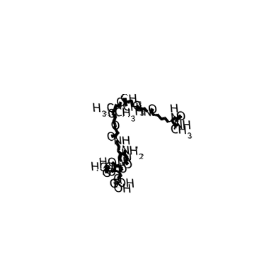 C[C@@H]1NC(=O)N[C@@H]1CCCCCC(=O)NCCOCCC(C)(C)OCCC(C)(C)OCCOCCC(=O)NCCCc1cn(C2OC(COP(=O)(O)O)C(OP(=O)(O)O)C2O)c(=O)nc1N